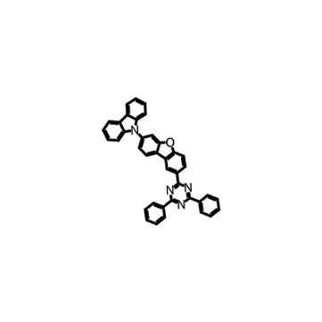 c1ccc(-c2nc(-c3ccccc3)nc(-c3ccc4oc5cc(-n6c7ccccc7c7ccccc76)ccc5c4c3)n2)cc1